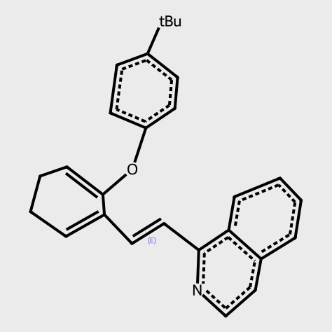 CC(C)(C)c1ccc(OC2=CCCC=C2/C=C/c2nccc3ccccc23)cc1